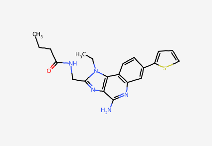 CCCC(=O)NCc1nc2c(N)nc3cc(-c4cccs4)ccc3c2n1CC